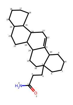 NC(=O)CCC12CCCCC1C1=CCC3C4CCCCC4CCC3C1CC2